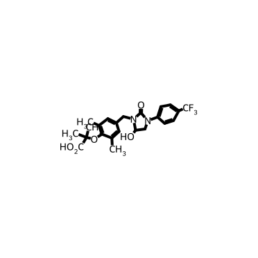 Cc1cc(CN2C(=O)N(c3ccc(C(F)(F)F)cc3)CC2O)cc(C)c1OC(C)(C)C(=O)O